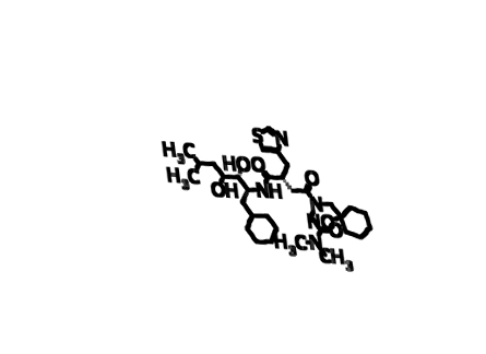 CC(C)C[C@H](O)[C@H](O)[C@H](CC1CCCCC1)NC(=O)[C@@H](CC(=O)N(CC(=O)N(C)C)CC1(O)CCCCC1)Cc1cscn1